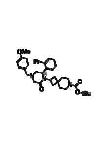 COc1ccc(CN2CC(=O)N(C3CC4(CCN(C(=O)OC(C)(C)C)CC4)C3)[C@H](c3ccccc3C(C)C)C2)cc1